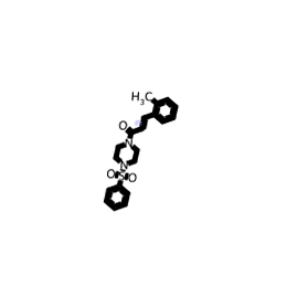 Cc1ccccc1/C=C/C(=O)N1CCN(S(=O)(=O)c2ccccc2)CC1